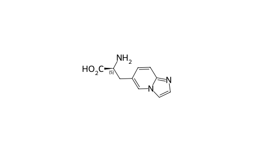 N[C@@H](Cc1ccc2nccn2c1)C(=O)O